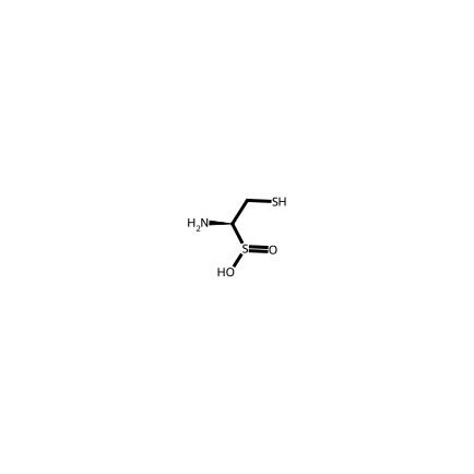 N[C@@H](CS)S(=O)O